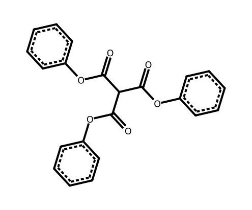 O=C(Oc1ccccc1)C(C(=O)Oc1ccccc1)C(=O)Oc1ccccc1